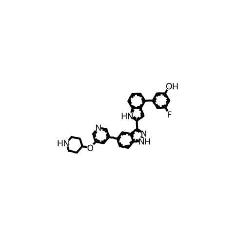 Oc1cc(F)cc(-c2cccc3[nH]c(-c4n[nH]c5ccc(-c6cncc(OC7CCNCC7)c6)cc45)cc23)c1